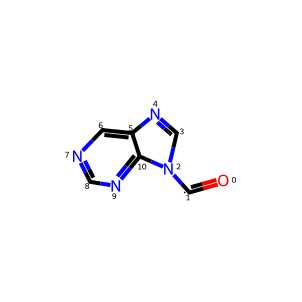 O=[C]n1cnc2cncnc21